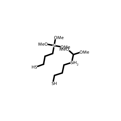 COC(OC)[SiH2]CCCS.CO[Si](CCCS)(OC)OC